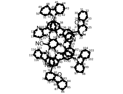 N#Cc1c(-n2c3ccccc3c3ncccc32)c(-n2c3ccc(-c4cccc5c4oc4ccccc45)cc3c3cc(-n4c5ccccc5c5ccccc54)ccc32)c(-n2c3ccccc3c3ncccc32)c(-n2c3ccc(-c4cccc5c4oc4ccccc45)cc3c3cc(-n4c5ccccc5c5ccccc54)ccc32)c1-n1c2ccccc2c2ncccc21